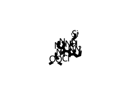 CCOC(Cn1nc(-c2c(Cl)c3cccnc3n2COCC[Si](C)(C)C)c2c(N)ncnc21)OCC